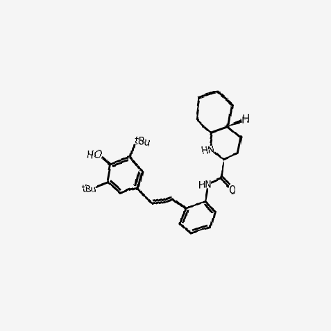 CC(C)(C)c1cc(C=Cc2ccccc2NC(=O)[C@@H]2CC[C@H]3CCCCC3N2)cc(C(C)(C)C)c1O